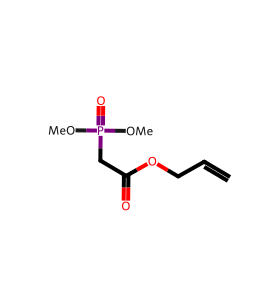 C=CCOC(=O)CP(=O)(OC)OC